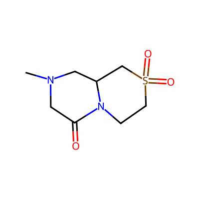 CN1CC(=O)N2CCS(=O)(=O)CC2C1